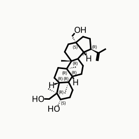 C=C(C)[C@@H]1CC[C@]2(CO)CC[C@]3(C)C(CC[C@@H]4[C@@]5(C)CC[C@H](O)[C@@](C)(CO)[C@@H]5CC[C@]43C)[C@@H]12